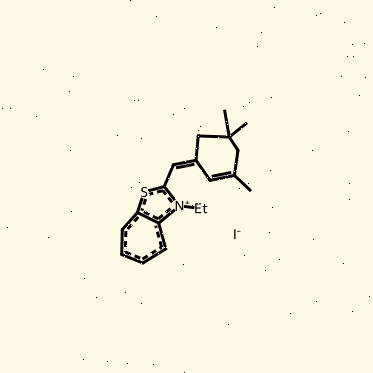 CC[n+]1c(C=C2C=C(C)CC(C)(C)C2)sc2ccccc21.[I-]